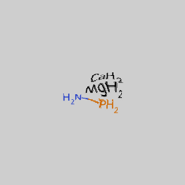 NP.[CaH2].[MgH2]